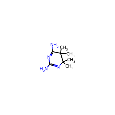 CC1(C)N=C(N)N=C(N)C1(C)C